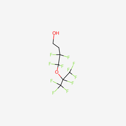 OCCC(F)(F)C(F)(F)OC(F)(C(F)(F)F)C(F)(F)F